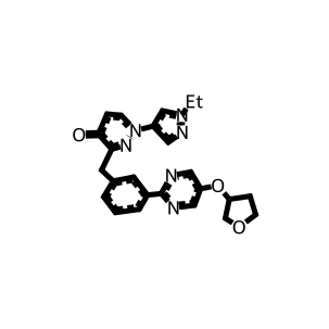 CCn1cc(-n2ccc(=O)c(Cc3cccc(-c4ncc(OC5CCOC5)cn4)c3)n2)cn1